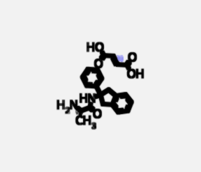 C[C@@H](N)C(=O)NC1(c2ccccc2)Cc2ccccc2C1.O=C(O)/C=C/C(=O)O